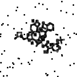 CC(=O)O[C@@]12CO[C@@H]1CC[C@@]1(C)[C@@H]3O[C@H](CN4CC[C@@H]4C)O[C@@H]3C3=C(C)[C@@H](OC(=O)[C@H](O)[C@H](CF)NC(=O)OC(C)(C)C)C[C@@](O)([C@@H](OC(=O)c4ccccc4)[C@@H]12)C3(C)C